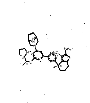 C[C@H](Oc1nc(-c2noc([C@@]3(C)CCCc4sc(N)c(C#N)c43)n2)cc(N2CC3CCC(C2)N3)n1)[C@@H]1CCCN1C